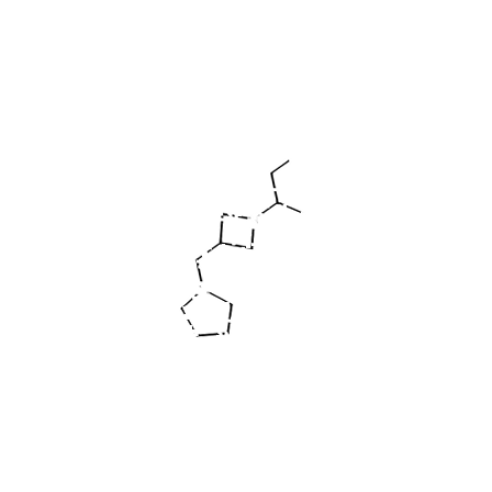 CCC(C)N1CC(CN2CCCC2)C1